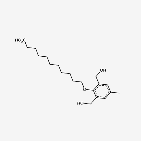 Cc1cc(CO)c(OCCCCCCCCCCC(=O)O)c(CO)c1